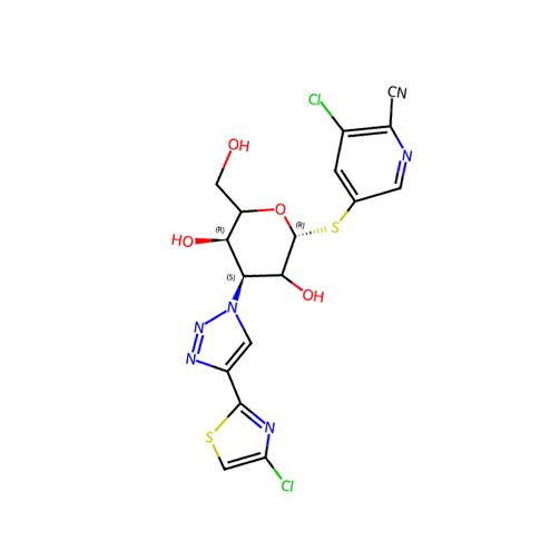 N#Cc1ncc(S[C@H]2OC(CO)[C@H](O)[C@H](n3cc(-c4nc(Cl)cs4)nn3)C2O)cc1Cl